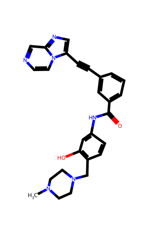 CN1CCN(Cc2ccc(NC(=O)c3cccc(C#Cc4cnc5cnccn45)c3)cc2O)CC1